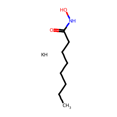 CCCCCCCC(=O)NO.[KH]